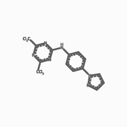 ClC(Cl)(Cl)c1nc(Nc2ccc(-n3cccn3)cc2)nc(C(Cl)(Cl)Cl)n1